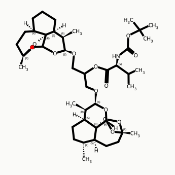 CC(C)[C@H](NC(=O)OC(C)(C)C)C(=O)OC(CO[C@H]1OC2O[C@@]3(C)CC[C@H]4CCC[C@@H]([C@H]1C)[C@@]24OO3)CO[C@H]1O[C@@H]2O[C@@]3(C)CC[C@H]4[C@H](C)CC[C@@H]([C@H]1C)[C@@]24OO3